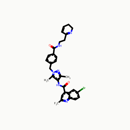 Cc1nn(Cc2ccc(C(=O)NCCC3=NCCC=C3)cc2)c(C)c1NC(=O)c1cc(C(F)(F)F)nc2ccc(Br)cc12